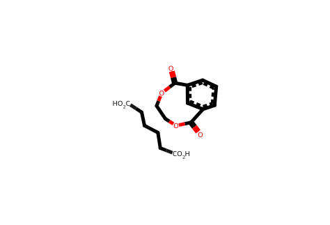 O=C(O)CCCCC(=O)O.O=C1OCCOC(=O)c2cccc1c2